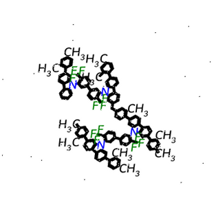 Cc1ccc(-c2ccc3c4ccccc4n(-c4cc(-c5ccc(C(F)(F)F)c(-n6c7cc(Cc8ccc(-c9ccc%10c%11ccc(-c%12ccc(C)cc%12C)cc%11n(-c%11cc(-c%12ccc(C(F)(F)F)c(-n%13c%14cc(-c%15ccc(C)cc%15C)ccc%14c%14ccc(-c%15ccc(C)cc%15C)cc%14%13)c%12)ccc%11C(F)(F)F)c%10c9)c(C)c8)ccc7c7ccc(-c8ccc(C)cc8C)cc76)c5)ccc4C(F)(F)F)c3c2)c(C)c1